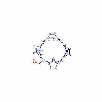 OCc1c2nc(cc3ccc(cc4nc(cc5ccc1[nH]5)C=C4)[nH]3)C=C2